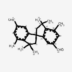 Cc1cc(C=O)cc2c1C(C)(C)CC21CC(C)(C)c2c(C)cc(C=O)cc21